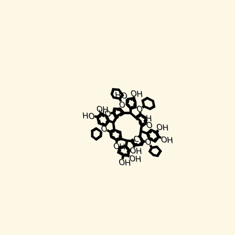 Oc1ccc(C2c3cc(c(OC4CCCCC4)cc3O)C(c3ccc(O)c(O)c3)c3cc(c(OC4CCCCC4)cc3O)C(c3ccc(O)c(O)c3)c3cc(c(O)cc3OC3CCCCC3)C(c3ccc(O)c(O)c3)c3cc2c(O)cc3OC2CCCCC2)cc1O